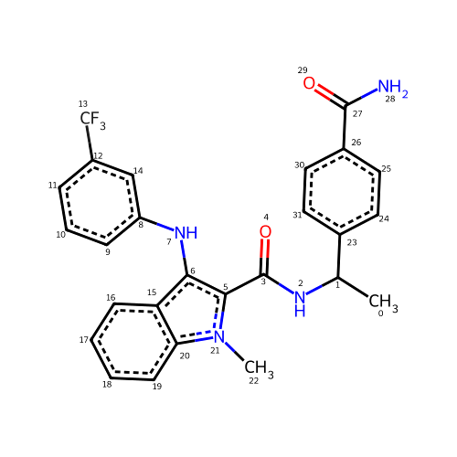 CC(NC(=O)c1c(Nc2cccc(C(F)(F)F)c2)c2ccccc2n1C)c1ccc(C(N)=O)cc1